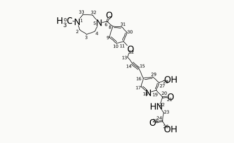 CN1CCCN(C(=O)c2ccc(OCC#Cc3cnc(C(=O)NCC(=O)O)c(O)c3)cc2)CC1